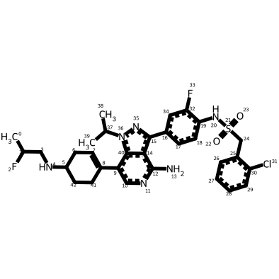 CC(F)CNC1CC=C(c2cnc(N)c3c(-c4ccc(NS(=O)(=O)Cc5ccccc5Cl)c(F)c4)nn(C(C)C)c23)CC1